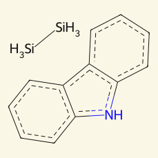 [SiH3][SiH3].c1ccc2c(c1)[nH]c1ccccc12